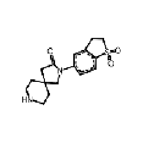 O=C1CC2(CCNCC2)CN1c1ccc2c(c1)CCS2(=O)=O